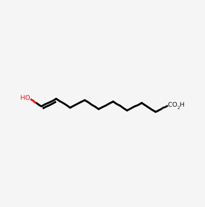 O=C(O)CCCCCCCC=CO